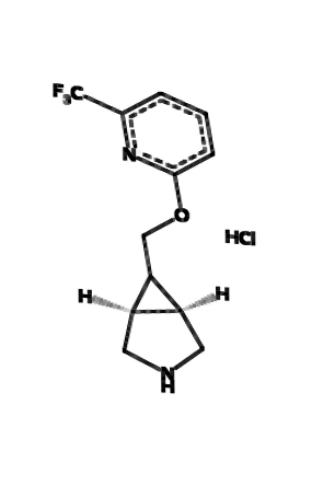 Cl.FC(F)(F)c1cccc(OCC2[C@H]3CNC[C@@H]23)n1